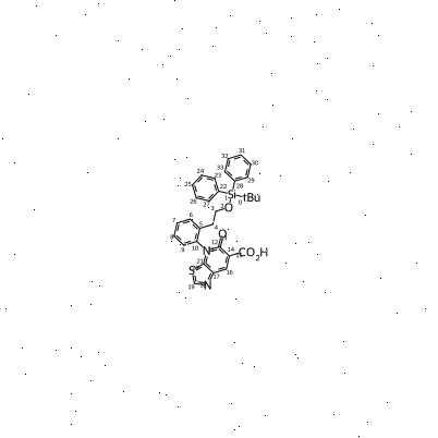 CC(C)(C)[Si](OCCc1ccccc1-n1c(=O)c(C(=O)O)cc2ncsc21)(c1ccccc1)c1ccccc1